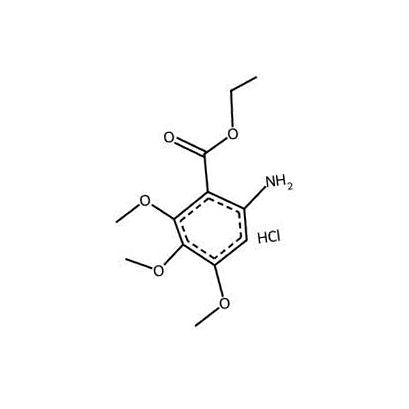 CCOC(=O)c1c(N)cc(OC)c(OC)c1OC.Cl